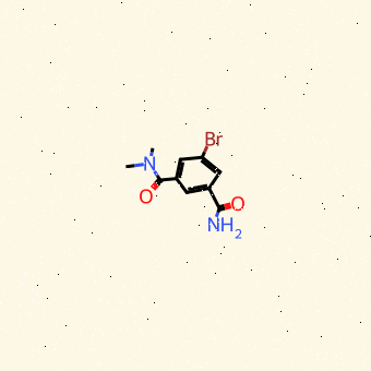 CN(C)C(=O)c1cc(Br)cc(C(N)=O)c1